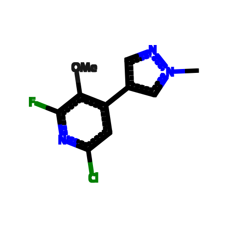 COc1c(-c2cnn(C)c2)cc(Cl)nc1F